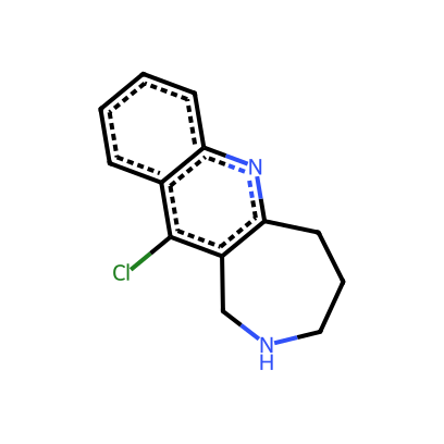 Clc1c2c(nc3ccccc13)CCCNC2